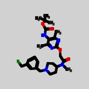 Cc1nc(OCC(=O)N(C)C2CCN(Cc3cccc(CF)c3)CC2)nc(C)c1NC(=O)OC(C)(C)C